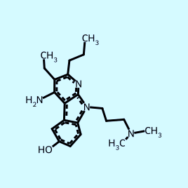 CCCc1nc2c(c(N)c1CC)c1cc(O)ccc1n2CCCN(C)C